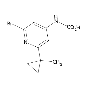 CC1(c2cc(NC(=O)O)cc(Br)n2)CC1